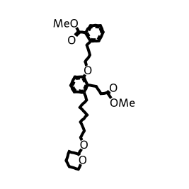 COC(=O)CCc1c(CCCCCCOC2CCCCO2)cccc1OCCCc1ccccc1C(=O)OC